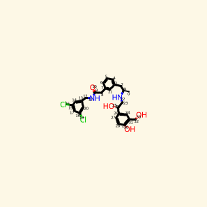 C[C@H](Cc1cccc(CC(=O)NCc2cc(Cl)cc(Cl)c2)c1)NC[C@@H](O)c1ccc(O)c(CO)c1